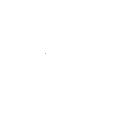 CCc1cccc(C(C)(C(=O)O)c2ccc(N3CCOCC3)cc2)c1